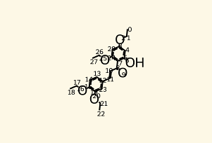 CCOc1cc(O)c(C(=O)C=Cc2ccc(OCC)c(OCC)c2)c(OCC)c1